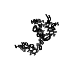 O=C(O)[C@@H](Cc1cccc(CC(=O)N(CCOc2cccc(C[C@H](C(=O)O)[C@H]3CCNC3)c2)Cc2cc(C[C@H](C(=O)O)[C@H]3CCNC3)cs2)c1)[C@H]1CCNC1